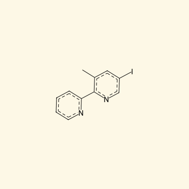 Cc1cc(I)cnc1-c1ccccn1